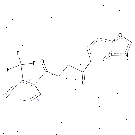 C#C/C(=C(\C=C/C)C(=O)CCC(=O)c1ccc2ocnc2c1)C(F)(F)F